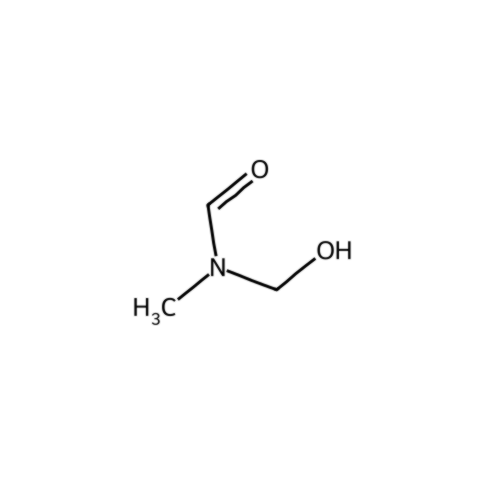 CN(C=O)CO